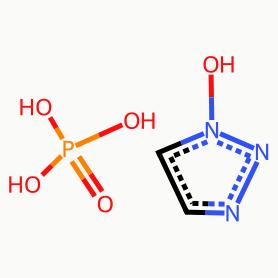 O=P(O)(O)O.On1ccnn1